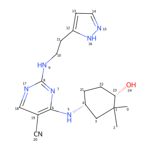 CC1(C)C[C@H](Nc2nc(NCCc3ccn[nH]3)ncc2C#N)CC[C@@H]1O